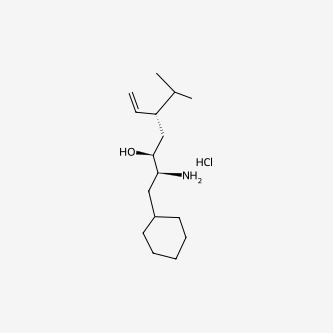 C=C[C@@H](C[C@H](O)[C@@H](N)CC1CCCCC1)C(C)C.Cl